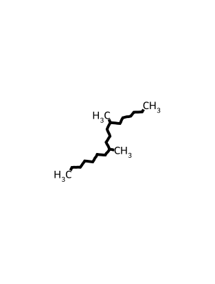 CCCCCCCC(C)CCCC(C)CCCCCC